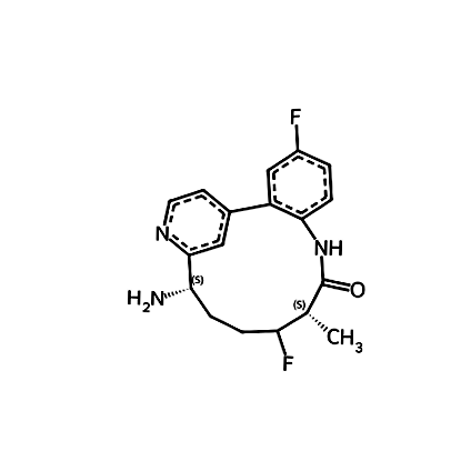 C[C@H]1C(=O)Nc2ccc(F)cc2-c2ccnc(c2)[C@@H](N)CCC1F